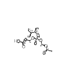 CC(=O)OCOP(=O)(OCOC(=O)O)OC(C)C(C)C